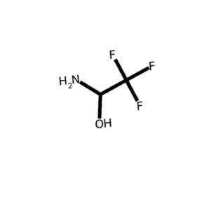 NC(O)C(F)(F)F